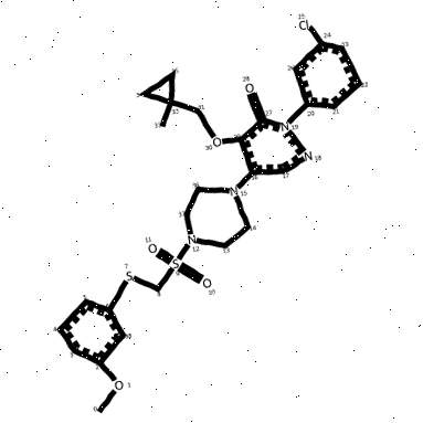 COc1cccc(SCS(=O)(=O)N2CCN(c3cnn(-c4cccc(Cl)c4)c(=O)c3OCC3(C)CC3)CC2)c1